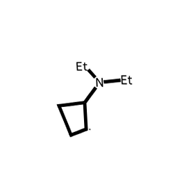 CCN(CC)C1[CH]CC1